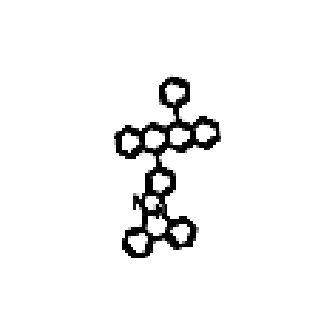 c1ccc(-c2c3ccccc3cc3c(-c4ccc5c(c4)nc4c6ccccc6c6ccccc6n54)c4ccccc4cc23)cc1